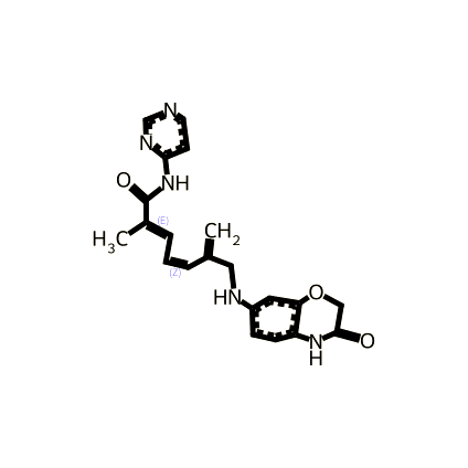 C=C(/C=C\C=C(/C)C(=O)Nc1ccncn1)CNc1ccc2c(c1)OCC(=O)N2